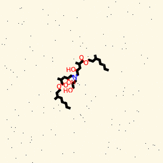 CCCCCC(C)CCOC(=O)C(C)CC(O)CN(CCCO)CC(O)CC(C)C(=O)OCCC(C)CCCCC